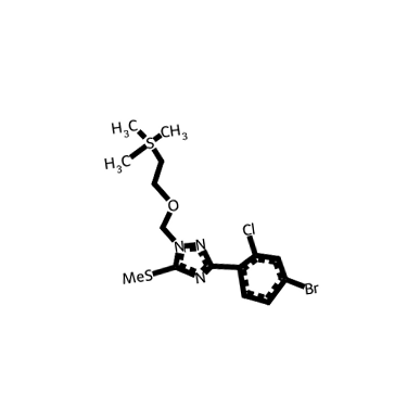 CSc1nc(-c2ccc(Br)cc2Cl)nn1COCCS(C)(C)C